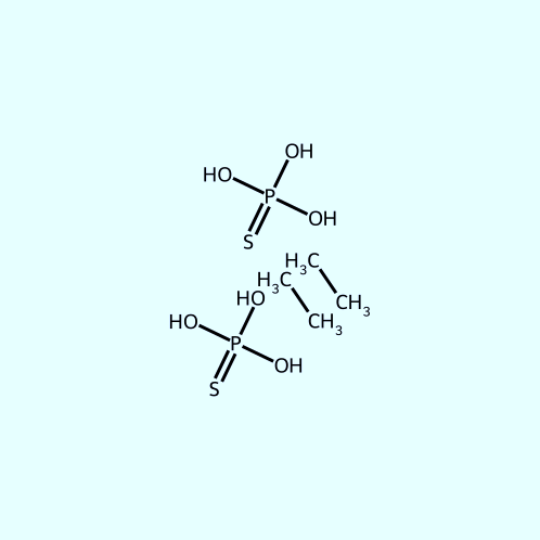 CC.CC.OP(O)(O)=S.OP(O)(O)=S